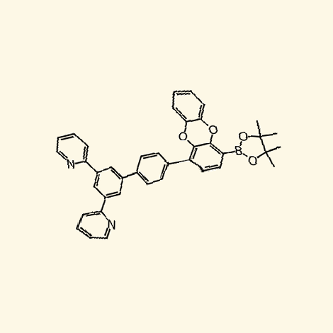 CC1(C)OB(c2ccc(-c3ccc(-c4cc(-c5ccccn5)cc(-c5ccccn5)c4)cc3)c3c2Oc2ccccc2O3)OC1(C)C